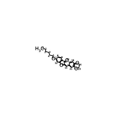 CCCCCCOc1ccc2c(c1)OC(=Cc1ccc3c(c1)OCCO3)C2=O